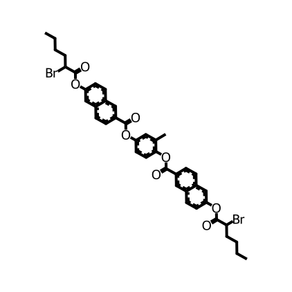 CCCCC(Br)C(=O)Oc1ccc2cc(C(=O)Oc3ccc(OC(=O)c4ccc5cc(OC(=O)C(Br)CCCC)ccc5c4)c(C)c3)ccc2c1